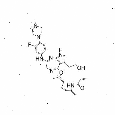 C=CC(=O)NC(=C)/C=C\C=C(/C)OC1=NCC(Nc2ccc(N3CCN(C)CC3)c(F)c2)=Nc2[nH]cc(CCO)c21